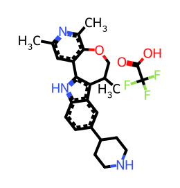 Cc1cc2c(c(C)n1)OCC(C)c1c-2[nH]c2ccc(C3CCNCC3)cc12.O=C(O)C(F)(F)F